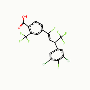 O=C(O)c1ccc(C(F)=CC(c2cc(Cl)c(F)c(Cl)c2)C(F)(F)F)cc1C(F)(F)F